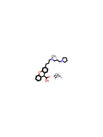 CI.CI.CN(CCCc1ccc2c(c1)Oc1ccccc1C2C(=O)O)CCCN1CCCC1